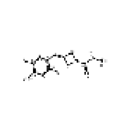 Cc1cc(C=C2CN(C(=O)OC(C)(C)C)C2)c(C)cc1Br